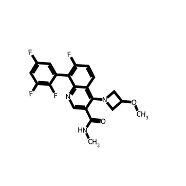 CNC(=O)c1cnc2c(-c3cc(F)cc(F)c3F)c(F)ccc2c1N1CC(OC)C1